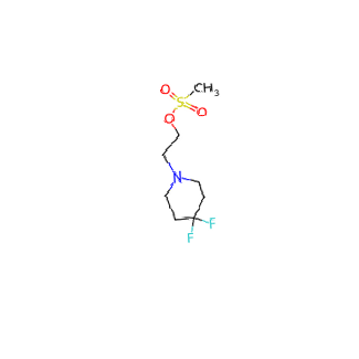 CS(=O)(=O)OCCN1CCC(F)(F)CC1